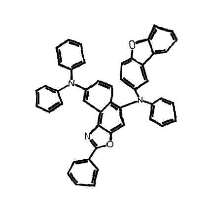 c1ccc(-c2nc3c(cc(N(c4ccccc4)c4ccc5oc6ccccc6c5c4)c4ccc(N(c5ccccc5)c5ccccc5)cc43)o2)cc1